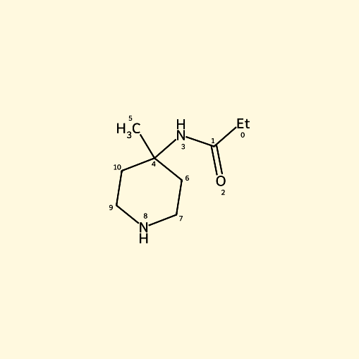 CCC(=O)NC1(C)CCNCC1